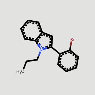 CCCn1c(-c2ccccc2Br)cc2ccccc21